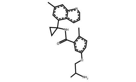 Cc1cc(C2(NC(=O)c3cc(OCC(C)N)ccc3C)CC2)c2cccnc2c1